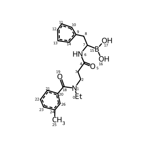 CCN(CCC(=O)NC(Cc1ccccc1)B(O)O)C(=O)c1cccc(C)c1